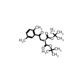 Cc1ccc(C)c(C(=O)CN(C(=O)OC(C)(C)C)C(=O)OC(C)(C)C)c1